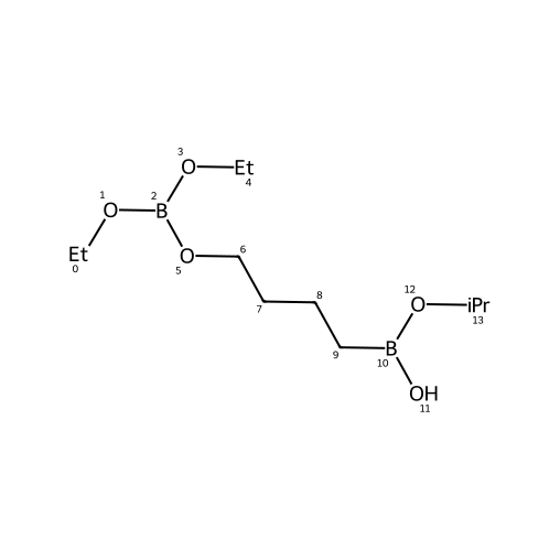 CCOB(OCC)OCCCCB(O)OC(C)C